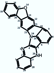 C1=CC2=Nc3c(c4cccc5c6cc7oc8ccccc8c7cc6n3c45)NC2C=C1